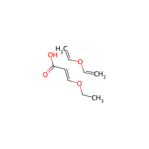 C=COC=C.CCOC=CC(=O)O